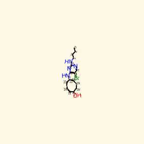 CCCCNc1ncc(Br)c(N[C@H]2CCC[C@H](O)CCC2)n1